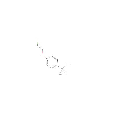 O=C(O)C1(c2ccc(OCCF)cc2)CC1